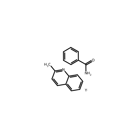 Cc1ccc2ccccc2n1.NC(=O)c1ccccc1.[Y]